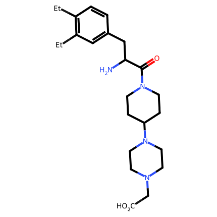 CCc1ccc(CC(N)C(=O)N2CCC(N3CCN(CC(=O)O)CC3)CC2)cc1CC